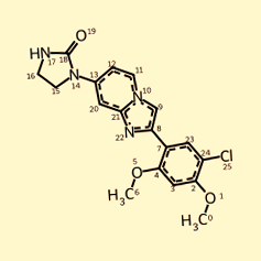 COc1cc(OC)c(-c2cn3ccc(N4CCNC4=O)cc3n2)cc1Cl